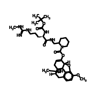 CNC(=N)NCCC[C@H](NC(=O)OC(C)(C)C)C(=O)NCC1CCCCN1C(=O)OC1=CC[C@@]2(O)[C@H]3Cc4ccc(OC)c5c4[C@@]2(CCN3C)[C@H]1O5